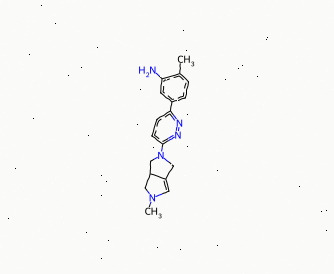 Cc1ccc(-c2ccc(N3CC4=CN(C)CC4C3)nn2)cc1N